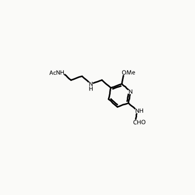 COc1nc(NC=O)ccc1CNCCNC(C)=O